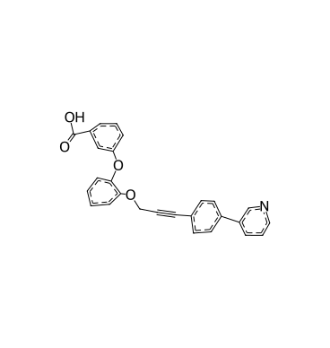 O=C(O)c1cccc(Oc2ccccc2OCC#Cc2ccc(-c3cccnc3)cc2)c1